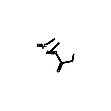 CC(=O)O.CC(C)=O.CCC(=O)O